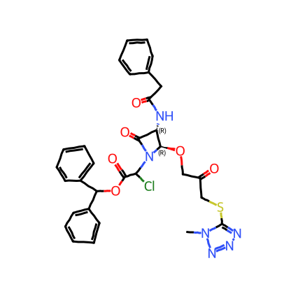 Cn1nnnc1SCC(=O)CO[C@@H]1[C@@H](NC(=O)Cc2ccccc2)C(=O)N1C(Cl)C(=O)OC(c1ccccc1)c1ccccc1